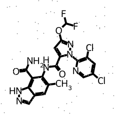 Cc1cc2cn[nH]c2c(C(N)=O)c1NC(=O)c1cc(OC(F)F)nn1-c1ncc(Cl)cc1Cl